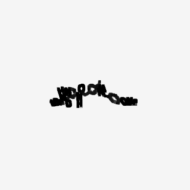 COc1ccc(Cn2nc(C)c3ccc(CC(=O)Nc4ccnc(C(=O)NC(C)(C)C)c4)cc32)cc1